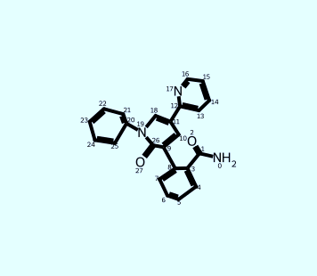 NC(=O)c1ccccc1-c1cc(-c2ccccn2)cn(-c2ccccc2)c1=O